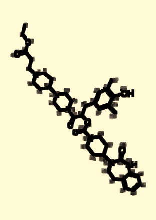 CCOC(=O)CCN1CCC(N2CCN(C(=O)C(Cc3cc(C)c(O)c(C)c3)OC(=O)N3CCC(N4CCc5ccccc5NC4=O)CC3)CC2)CC1